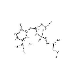 CCCC(F)CCC(F)(F)CN(CCC)Cc1cc(C(F)(F)F)ccc1C